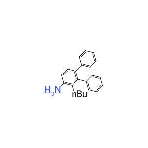 CCCCc1c(N)ccc(-c2ccccc2)c1-c1ccccc1